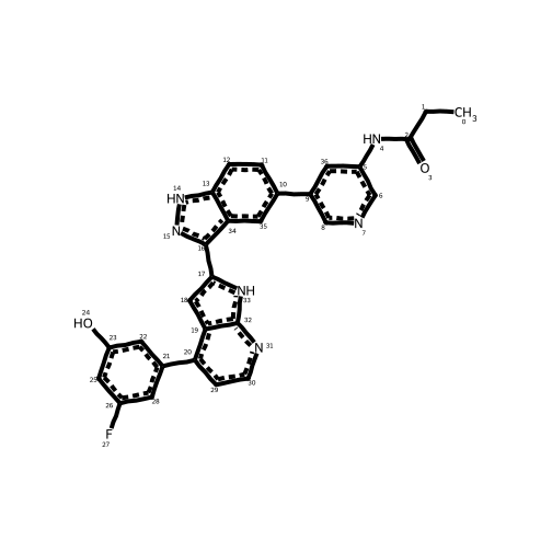 CCC(=O)Nc1cncc(-c2ccc3[nH]nc(-c4cc5c(-c6cc(O)cc(F)c6)ccnc5[nH]4)c3c2)c1